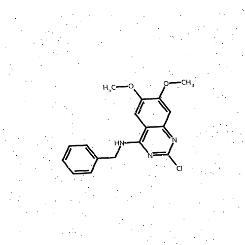 COc1cc2nc(Cl)nc(NCc3ccccc3)c2cc1OC